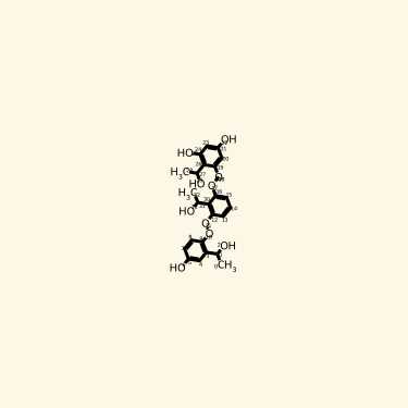 CC(O)c1cc(O)ccc1OOc1cccc(OOc2cc(O)cc(O)c2C(C)O)c1C(C)O